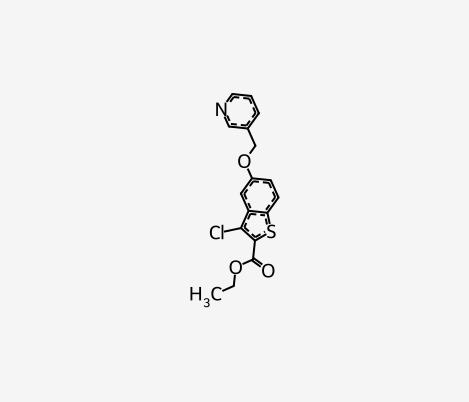 CCOC(=O)c1sc2ccc(OCc3cccnc3)cc2c1Cl